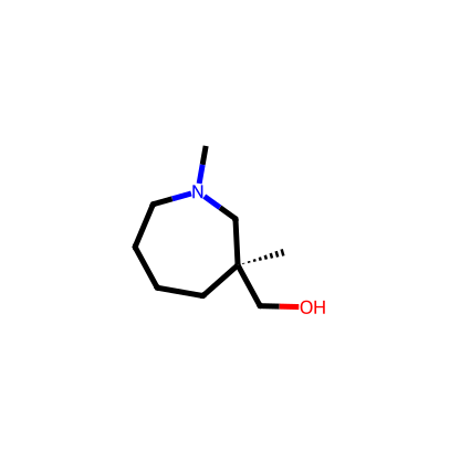 CN1CCCC[C@](C)(CO)C1